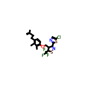 C=C(C)CCc1ccc(OCC2C(c3ncc(Cl)s3)=NSC2C(F)(F)F)c(C)c1C